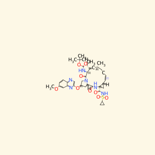 CC[C@@H]1C[C@H](C)CC/C=C\[C@@H]2C[C@@]2(C(=O)NS(=O)(=O)C2CC2)NC(=O)[C@@H]2C[C@@H](Oc3cnc4ccc(OC)cc4n3)CN2C(=O)[C@H]1NC(=O)OC(C)(C)C